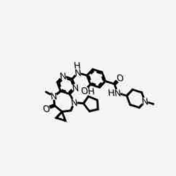 CN1CCC(NC(=O)c2ccc(Nc3ncc4c(n3)N(C3CCCC3)CC3(CC3)C(=O)N4C)c(O)c2)CC1